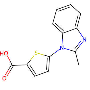 Cc1nc2ccccc2n1-c1ccc(C(=O)O)s1